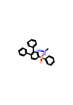 CNNc1c(S(=O)(=O)c2ccccc2)ccc(-c2ccccc2)c1-c1ccccc1